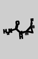 NC(=O)N[C@@H]1C[C@@H]1F